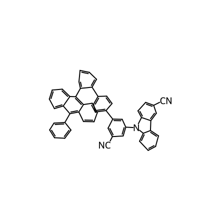 N#Cc1cc(-c2ccc(-c3ccccc3-c3c4ccccc4c(-c4ccccc4)c4ccccc34)cc2)cc(-n2c3ccccc3c3cc(C#N)ccc32)c1